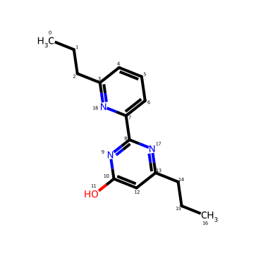 CCCc1cccc(-c2nc(O)cc(CCC)n2)n1